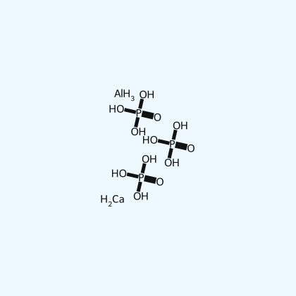 O=P(O)(O)O.O=P(O)(O)O.O=P(O)(O)O.[AlH3].[CaH2]